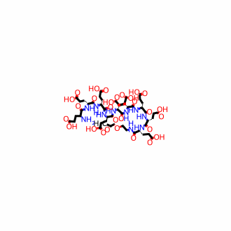 CC(=O)COCCNC(=O)[C@@H](CCC(=O)O)NC(=O)[C@@H](CCC(=O)O)NC(=O)[C@@H](CCC(=O)O)NC(=O)[C@@H](CCC(=O)O)NC(=O)[C@@H](CCC(=O)O)NC(=O)[C@@H](CCC(=O)O)NC(=O)[C@@H](CCC(=O)O)NC(=O)[C@@H](CCC(=O)O)NC(=O)[C@H](N)CCC(=O)O